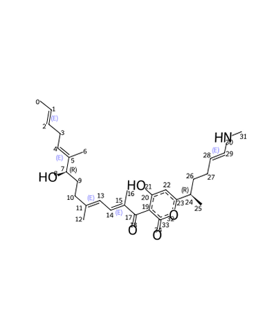 C/C=C/C/C=C(\C)[C@H](O)CC/C(C)=C/C=C(\C)C(=O)c1c(O)cc([C@H](C)CC/C=C/NC)oc1=O